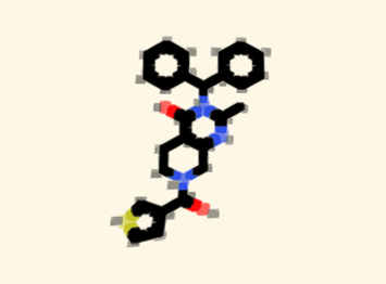 Cc1nc2c(c(=O)n1C(c1ccccc1)c1ccccc1)CCN(C(=O)c1ccsc1)C2